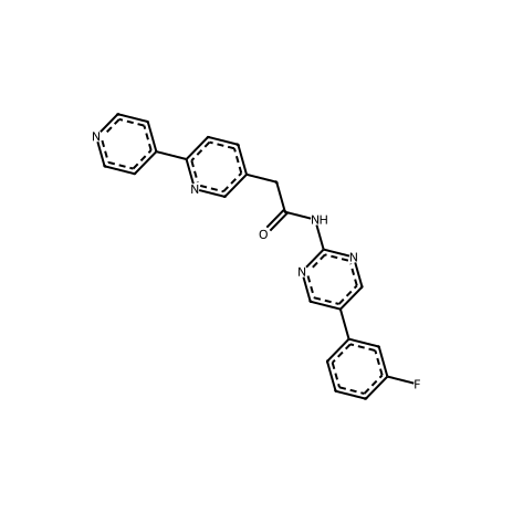 O=C(Cc1ccc(-c2ccncc2)nc1)Nc1ncc(-c2cccc(F)c2)cn1